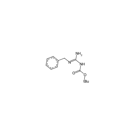 CC(C)(C)OC(=O)N/C(N)=N/Cc1ccccc1